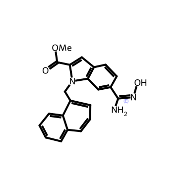 COC(=O)c1cc2ccc(/C(N)=N\O)cc2n1Cc1cccc2ccccc12